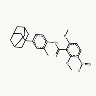 COc1ccc([N+](=O)[O-])c(OC)c1C(=O)Nc1ccc(C23CC4CC(CC(C4)C2)C3)cc1C